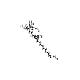 CCCCCCCCCCCCCCCCN(CC)C(C)C.Cl